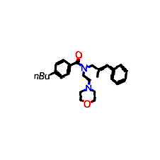 CCCCc1ccc(C(=O)N(CCN2CCOCC2)C/C(C)=C/c2ccccc2)cc1